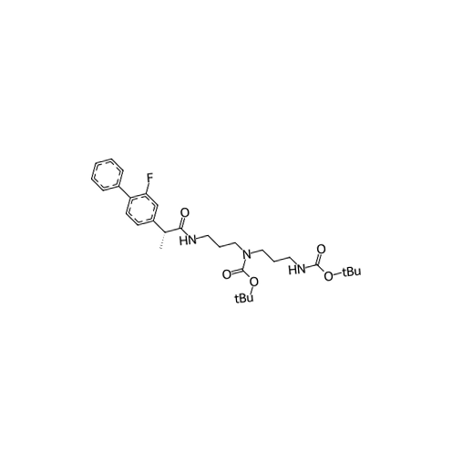 C[C@@H](C(=O)NCCCN(CCCNC(=O)OC(C)(C)C)C(=O)OC(C)(C)C)c1ccc(-c2ccccc2)c(F)c1